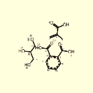 C=C(C)C(=O)O.O=C(O)c1ccccc1C(=O)O.OCC(O)CO